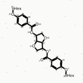 CCCCCCOc1ccc(C(=O)OC2COC3C(OC(=O)c4ccc(OCCCCCC)cc4)COC23)cc1